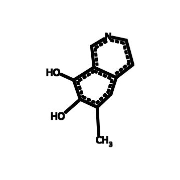 Cc1cc2ccncc2c(O)c1O